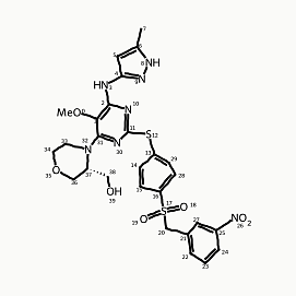 COc1c(Nc2cc(C)[nH]n2)nc(Sc2ccc(S(=O)(=O)Cc3cccc([N+](=O)[O-])c3)cc2)nc1N1CCOC[C@H]1CO